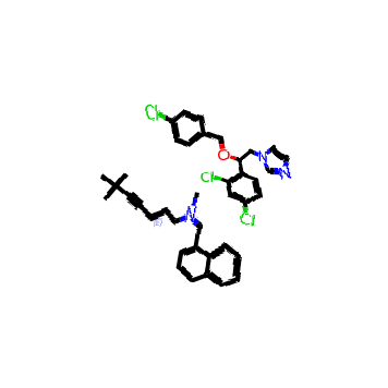 CN(C/C=C/C#CC(C)(C)C)Cc1cccc2ccccc12.Clc1ccc(COC(Cn2ccnc2)c2ccc(Cl)cc2Cl)cc1